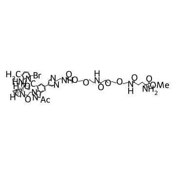 COC(=O)[C@@H](N)CCC(=O)NCCOCCOCC(=O)NCCOCCOCC(=O)NCc1ncc(-c2cc(C)c3c(c2)c(C(C)=O)nn3CC(=O)N2C[C@H]3C[C@H]3[C@H]2C(=O)Nc2nc(Br)ccc2C)cn1